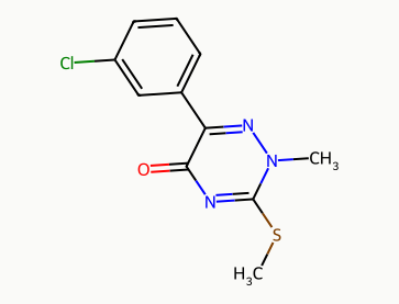 CSc1nc(=O)c(-c2cccc(Cl)c2)nn1C